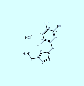 Cl.NCc1cnn(Cc2cc(F)c(F)cc2F)c1